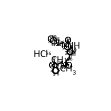 Cc1oc2ccccc2c1CN(C)C(=O)C=Cc1cnc2c(c1)CN(CCN1CCOCC1)C(=O)N2.Cl